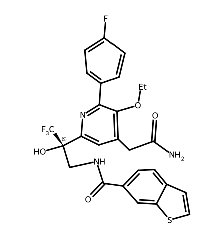 CCOc1c(CC(N)=O)cc([C@@](O)(CNC(=O)c2ccc3ccsc3c2)C(F)(F)F)nc1-c1ccc(F)cc1